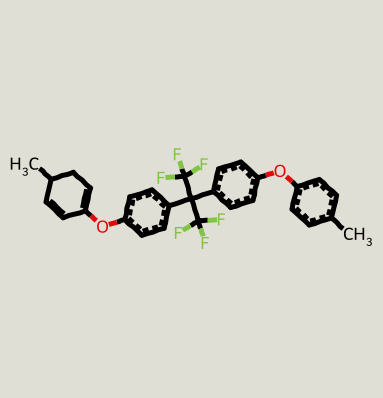 Cc1ccc(Oc2ccc(C(c3ccc(OC4=CCC(C)C=C4)cc3)(C(F)(F)F)C(F)(F)F)cc2)cc1